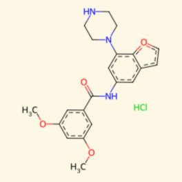 COc1cc(OC)cc(C(=O)Nc2cc(N3CCNCC3)c3occc3c2)c1.Cl